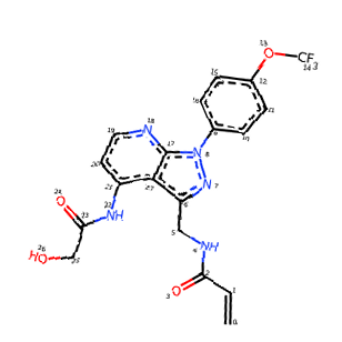 C=CC(=O)NCc1nn(-c2ccc(OC(F)(F)F)cc2)c2nccc(NC(=O)CO)c12